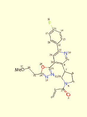 C=CC(=O)N1CCC(c2cnc(-c3ccc(F)cc3)cc2-c2nnc(CCOC)o2)C1